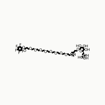 O=C(CCOCCOCCOCCOCCOCCOCCOCCOCCn1cc(CCO[C@H]2O[C@H](CCP(O)(O)=P)[C@@H](O)[C@H](O)[C@@H]2O)nn1)Oc1c(F)c(F)c(F)c(F)c1F